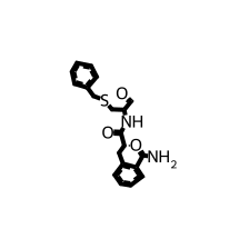 NC(=O)c1ccccc1C[CH]C(=O)NC(C=O)CSCc1ccccc1